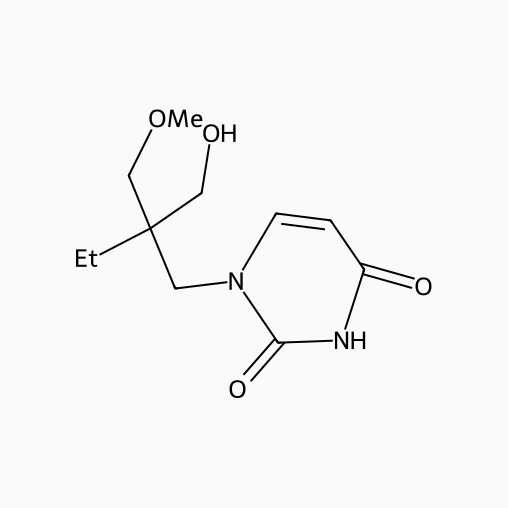 CCC(CO)(COC)Cn1ccc(=O)[nH]c1=O